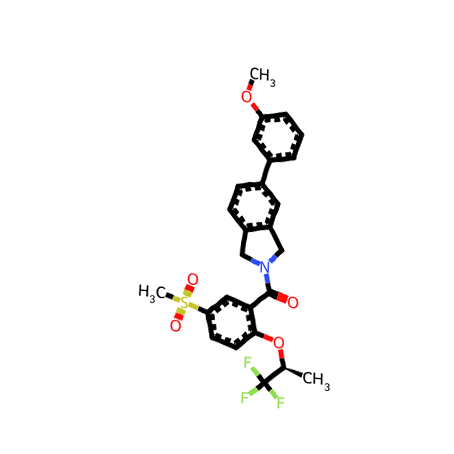 COc1cccc(-c2ccc3c(c2)CN(C(=O)c2cc(S(C)(=O)=O)ccc2O[C@@H](C)C(F)(F)F)C3)c1